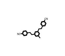 Cc1cc(CCc2ccc(C#N)cc2)cc(CCc2ccc(C#N)cc2)c1